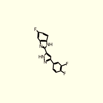 Fc1ccc2[nH]c(-c3cc(-c4ccc(F)c(F)c4)n[nH]3)nc2c1